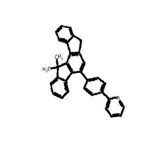 CC1(C)c2ccccc2-c2c(-c3ccc(-c4ccccn4)cc3)cc3c(c21)-c1ccccc1C3